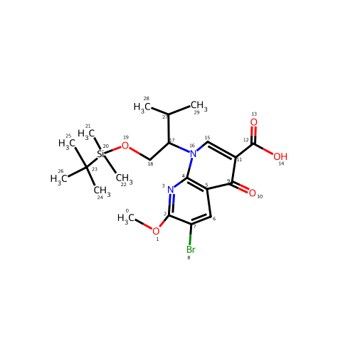 COc1nc2c(cc1Br)c(=O)c(C(=O)O)cn2C(CO[Si](C)(C)C(C)(C)C)C(C)C